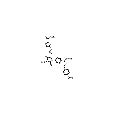 CCCCCC(OCc1ccc(OC)cc1)c1ccc(N2C(=O)N(P)C(=O)[C@@H]2COCc2ccc(C(=O)OC)s2)cc1